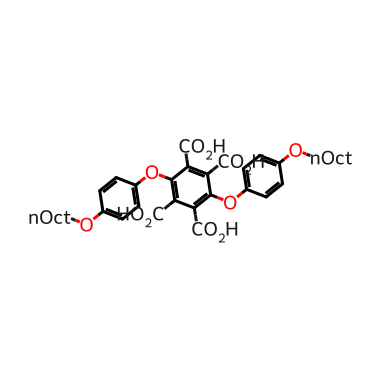 CCCCCCCCOc1ccc(Oc2c(C(=O)O)c(C(=O)O)c(Oc3ccc(OCCCCCCCC)cc3)c(C(=O)O)c2C(=O)O)cc1